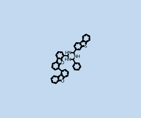 c1ccc(C2NC(c3ccc4c(c3)sc3ccccc34)NC(c3cccc4c3oc3c(-c5cccc6oc7ccccc7c56)cccc34)N2)cc1